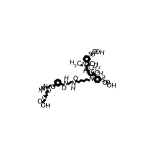 CCN1/C(=C/C=C/C2=[N+](CCCCCC(=O)NCCNC(=O)c3cccc(OCC(N=[N+]=[N-])OCCOCC(=O)O)c3)c3ccc(SOOO)cc3C2(C)C)C(C)(C)c2cc(SOOO)ccc21